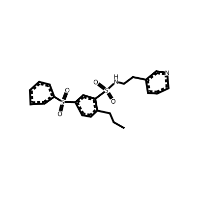 CCCc1ccc(S(=O)(=O)c2ccccc2)cc1S(=O)(=O)NCCc1cccnc1